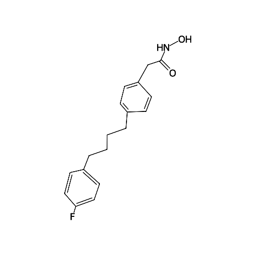 O=C(Cc1ccc(CCCCc2ccc(F)cc2)cc1)NO